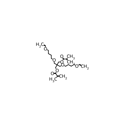 C=COCCCCOCC(COCCCCOC=C)(COC(=O)C(=C)C)COC(=O)C(=C)C